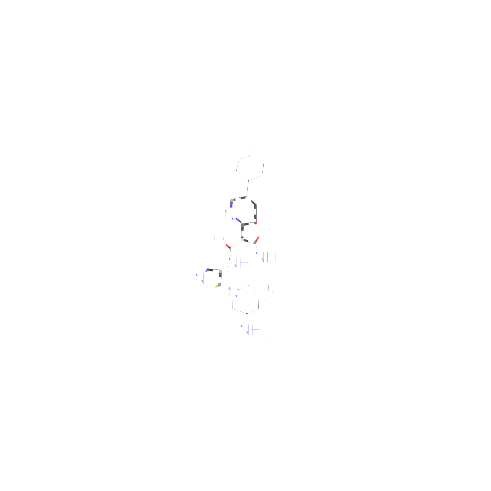 C[C@@H]1C[C@H](N)CN(c2sncc2NC(=O)c2c(N)oc3cc(C4CCOCC4)cnc23)C1